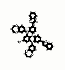 Cc1cc2c3c(c1)N(c1ccc4c(c1)OCCCO4)c1cc(-c4cc5ccccc5o4)ccc1B3c1ccc(-c3cc4ccccc4o3)cc1N2c1ccc2c(c1)OCCCO2